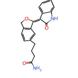 NC(=O)CCCc1ccc2c(c1)C(=C1C(=O)Nc3ccccc31)OC2